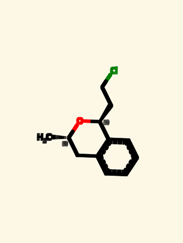 C[C@H]1Cc2ccccc2[C@H](CCCl)O1